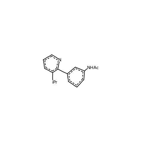 CC(=O)Nc1cccc(-c2ncccc2C(C)C)c1